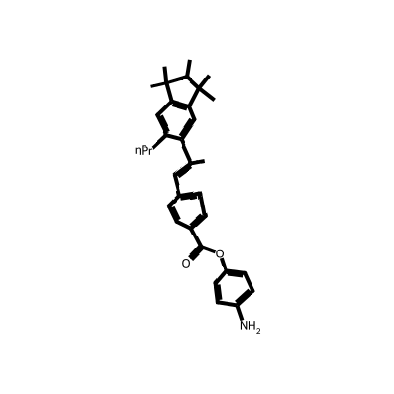 CCCc1cc2c(cc1C(C)=Cc1ccc(C(=O)Oc3ccc(N)cc3)cc1)C(C)(C)C(C)C2(C)C